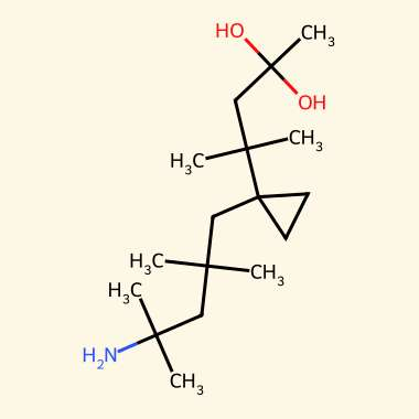 CC(C)(N)CC(C)(C)CC1(C(C)(C)CC(C)(O)O)CC1